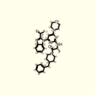 C[C@H](Nc1nc(N2CCOCC2)cc(-n2c(C(F)F)nc3ccccc32)n1)C(=O)N1CCC(Cc2ccccc2)CC1